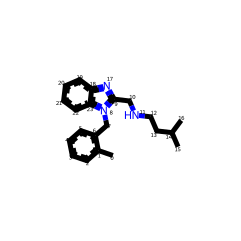 Cc1ccccc1Cn1c(CNCCC(C)C)nc2ccccc21